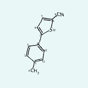 Cc1[c]cc(-c2ccc(C#N)s2)cc1